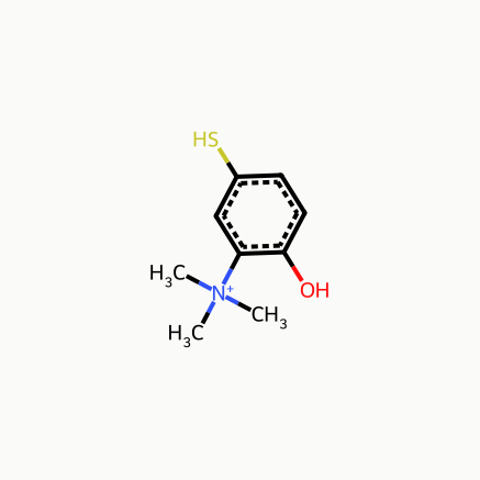 C[N+](C)(C)c1cc(S)ccc1O